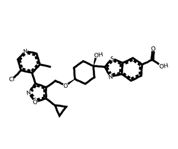 Cc1cncc(Cl)c1-c1noc(C2CC2)c1CO[C@H]1CC[C@](O)(c2nc3ccc(C(=O)O)cc3s2)CC1